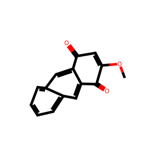 COC1=CC(=O)c2cc3ccccc3cc2C1=O